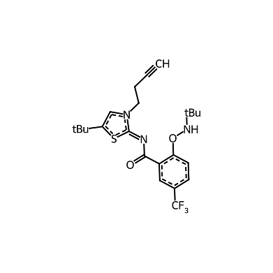 C#CCCn1cc(C(C)(C)C)sc1=NC(=O)c1cc(C(F)(F)F)ccc1ONC(C)(C)C